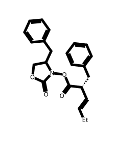 CCC=C[C@@H](Cc1ccccc1)C(=O)ON1C(=O)OCC1Cc1ccccc1